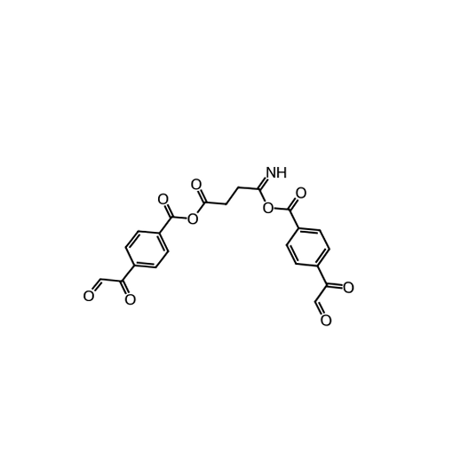 N=C(CCC(=O)OC(=O)c1ccc(C(=O)C=O)cc1)OC(=O)c1ccc(C(=O)C=O)cc1